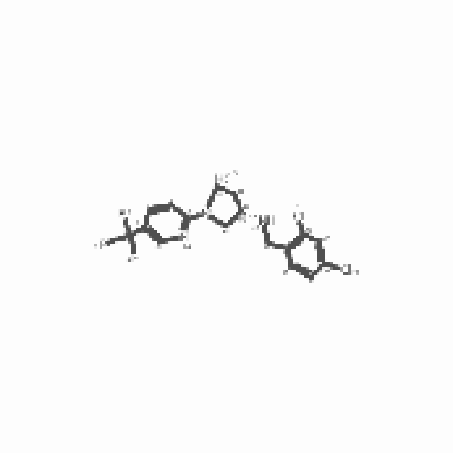 Cl.FC(F)(F)c1ccc(N2CC[C@H](NCc3ccc(Cl)cc3Cl)C2)nc1